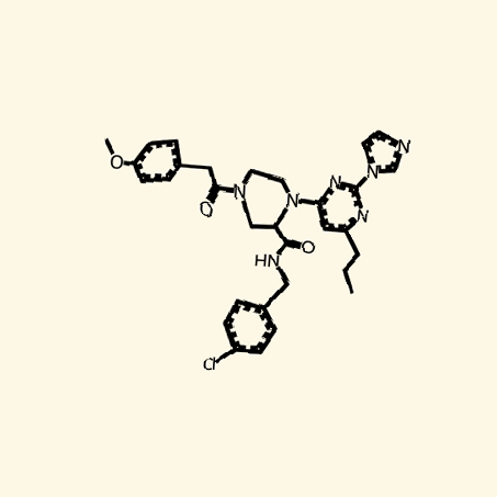 CCCc1cc(N2CCN(C(=O)Cc3ccc(OC)cc3)CC2C(=O)NCc2ccc(Cl)cc2)nc(-n2ccnc2)n1